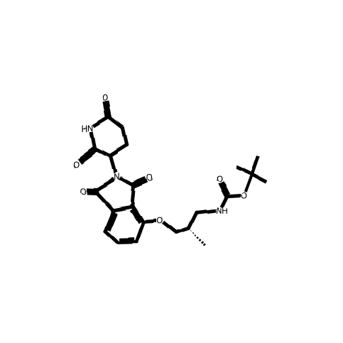 C[C@@H](CNC(=O)OC(C)(C)C)COc1cccc2c1C(=O)N(C1CCC(=O)NC1=O)C2=O